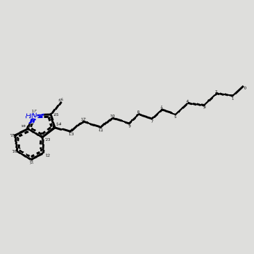 CCCCCCCCCCCCCCc1c(C)[nH]c2ccccc12